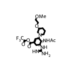 COCCO[C@H]1CCCN([C@@H]2C=C(C(=O)OC(=O)C(F)(F)F)C[C@H](NC(=N)N)[C@H]2NC(C)=O)C1